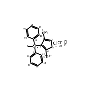 CCCC1=CC[C]([Ti+3])=C1[Si](C)(c1ccccc1)c1ccccc1.[Cl-].[Cl-].[Cl-]